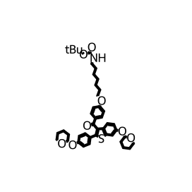 CC(C)(C)OC(=O)NCCCCCCCOc1ccc(C(=O)c2c(-c3ccc(OC4CCCCO4)cc3)sc3cc(OC4CCCCO4)ccc23)cc1